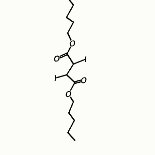 CCCCCOC(=O)C(I)C(I)C(=O)OCCCCC